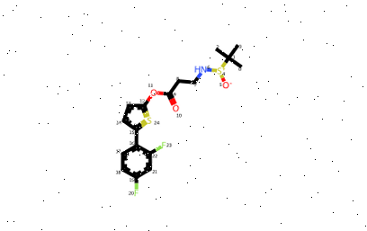 CC(C)(C)[S+]([O-])NCCC(=O)Oc1ccc(-c2ccc(F)cc2F)s1